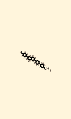 Cc1ccc(-c2ccc(-c3ccc4cc(-c5ccc(I)cc5)ccc4c3)cn2)cc1